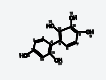 Oc1ccc(-c2ccc(O)c(O)c2O)c(O)c1